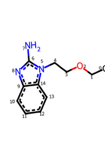 CCOCCn1c(N)nc2ccccc21